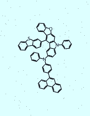 c1ccc(N(c2ccc(-c3cc4ccccc4c4ccccc34)cc2)c2ccc3c(c2)c2c(-c4ccc5c(c4)sc4ccccc45)c4c(cc2n3-c2ccccc2)oc2ccccc24)cc1